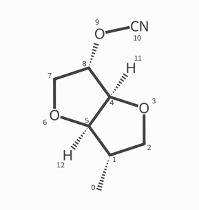 C[C@H]1CO[C@H]2[C@@H]1OC[C@@H]2OC#N